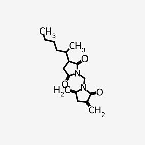 C=C1CC(=C)N(CN2C(=O)CC(C(C)CCCC)C2=O)C1=O